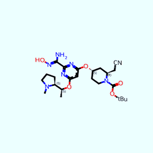 C[C@H](Oc1cc(O[C@H]2CCN(C(=O)OC(C)(C)C)[C@H](CC#N)C2)nc(C(N)=NO)n1)[C@@H]1CCCN1C